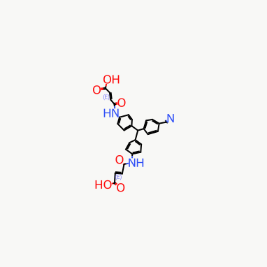 N#Cc1ccc(C(c2ccc(NC(=O)/C=C/C(=O)O)cc2)c2ccc(NC(=O)/C=C/C(=O)O)cc2)cc1